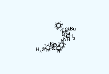 Cc1ccc(S(=O)(=O)Oc2cncc3ccc(CN[C@H](C)CN(CCc4ccccc4)C(=O)OC(C)(C)C)cc23)cc1